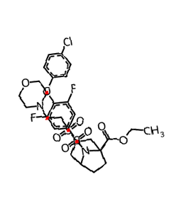 CCOC(=O)C12CCC(CN(S(=O)(=O)CCN3CCOCC3)C1)N2S(=O)(=O)c1cc(F)c(Oc2ccc(Cl)cc2)c(F)c1